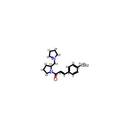 CC(C)(C)c1ccc(C=CC(=O)N2CCCC2CN2CCCC2)cc1